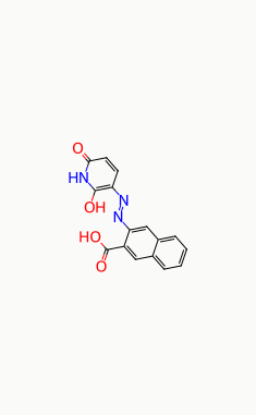 O=C(O)c1cc2ccccc2cc1N=Nc1ccc(=O)[nH]c1O